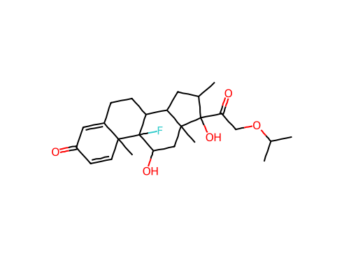 CC(C)OCC(=O)C1(O)C(C)CC2C3CCC4=CC(=O)C=CC4(C)C3(F)C(O)CC21C